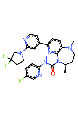 C[C@@H]1CCN(C)c2ccc(-c3ccnc(N4CCC(F)(F)C4)c3)nc2N1C(=O)Nc1ccc(F)cn1